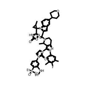 CCP(=O)(CC)c1ccc(-n2ccn(-c3c4c(nn3-c3cc(C)c(F)c(C)c3)CCN(C(=O)c3cc5cc(C6CCOCC6)ccc5n3C3(c5noc(=O)[nH]5)CC3C)C4C)c2=O)cc1NC(C)C